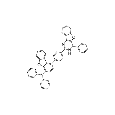 c1ccc(C2NC(c3ccc(-c4ccc(N(c5ccccc5)c5ccccc5)c5oc6ccccc6c45)cc3)=Nc3c2oc2ccccc32)cc1